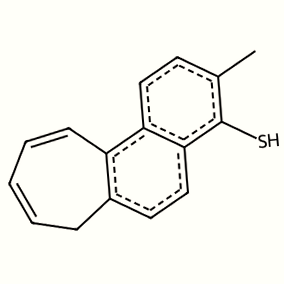 Cc1ccc2c3c(ccc2c1S)CC=CC=C3